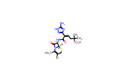 CCC1=C(C(=O)O)N2C(=O)[C@@H](NC(=O)/C(=C\CC(C)(C)C(=O)O)c3n[nH]c(N)n3)[C@H]2SC1